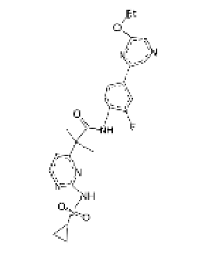 CCOc1cncc(-c2ccc(NC(=O)C(C)(C)c3ccnc(NS(=O)(=O)C4CC4)n3)c(F)c2)n1